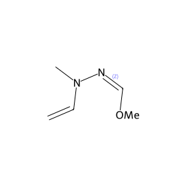 C=CN(C)/N=C\OC